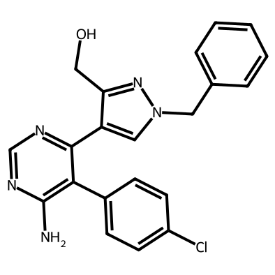 Nc1ncnc(-c2cn(Cc3ccccc3)nc2CO)c1-c1ccc(Cl)cc1